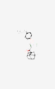 CNc1ccc(OCCC(=O)C23CC4CC(CC(C4)C2)C3)cc1.Cl